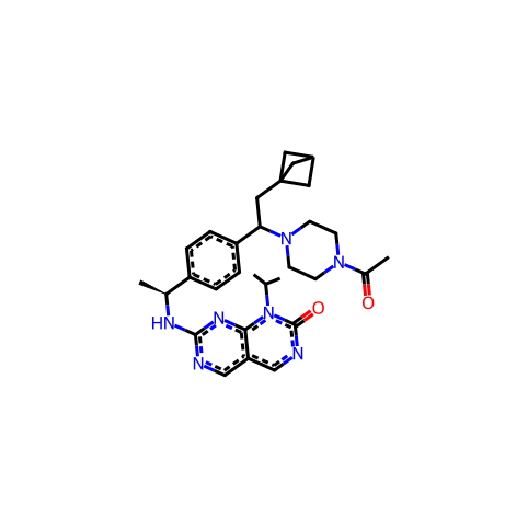 CC(=O)N1CCN(C(CC23CC(C2)C3)c2ccc([C@H](C)Nc3ncc4cnc(=O)n(C(C)C)c4n3)cc2)CC1